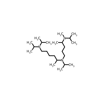 CC(C)N(C)C(C)CCCN(C(C)C)C(C)CCCCN(C(C)C)C(C)C